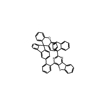 c1ccc2c(c1)Oc1ccccc1C21c2ccccc2-c2cc(-c3ccccc3-c3nc(-c4cccc5ccccc45)nc4c3sc3ccccc34)ccc21